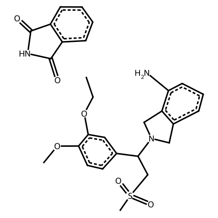 CCOc1cc(C(CS(C)(=O)=O)N2Cc3cccc(N)c3C2)ccc1OC.O=C1NC(=O)c2ccccc21